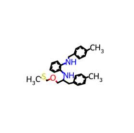 CSCOCC(Cc1ccc(C)cc1)Nc1ccccc1NCc1ccc(C)cc1